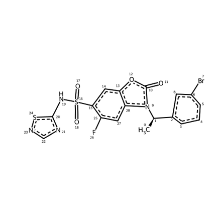 C[C@H](c1cccc(Br)c1)n1c(=O)oc2cc(S(=O)(=O)Nc3ncns3)c(F)cc21